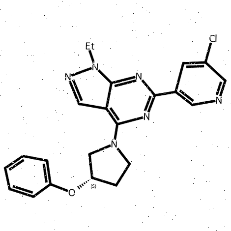 CCn1ncc2c(N3CC[C@H](Oc4ccccc4)C3)nc(-c3cncc(Cl)c3)nc21